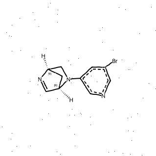 Brc1cncc(N2C[C@H]3C[C@@H]2C=N3)c1